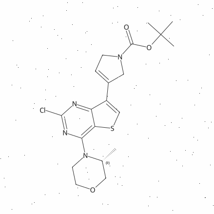 C[C@@H]1COCCN1c1nc(Cl)nc2c(C3=CCN(C(=O)OC(C)(C)C)C3)csc12